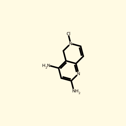 Nc1cc(N)c2c(n1)C=CN(Cl)C2